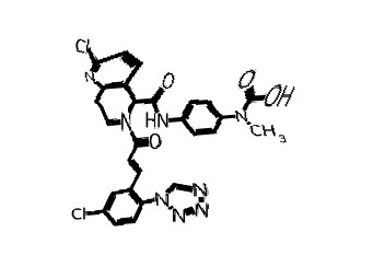 CN(C(=O)O)c1ccc(NC(=O)C2c3ccc(Cl)nc3CCN2C(=O)C=Cc2cc(Cl)ccc2-n2cnnn2)cc1